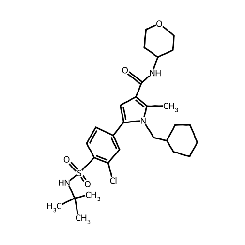 Cc1c(C(=O)NC2CCOCC2)cc(-c2ccc(S(=O)(=O)NC(C)(C)C)c(Cl)c2)n1CC1CCCCC1